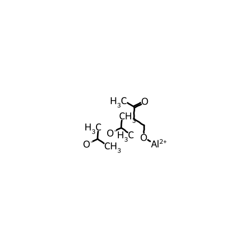 CC(=O)CC[O][Al+2].CC(C)[O-].CC(C)[O-]